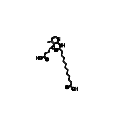 Cc1ccnc(NC(=O)CCCCCCCCCCCC(=O)O)c1OCCCC(=O)O